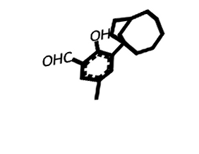 Cc1cc(C=O)c(O)c(C23CCCCCC(CC2)C3)c1